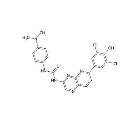 CN(C)c1ccc(NC(=O)Nc2cnc3ccc(-c4cc(Cl)c(O)c(Cl)c4)nc3n2)cc1